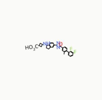 Cc1cc(-c2nc(-c3ccc4c(c3)CCC4NC3CC(C(=O)O)C3)no2)ccc1-c1cccc(F)c1F